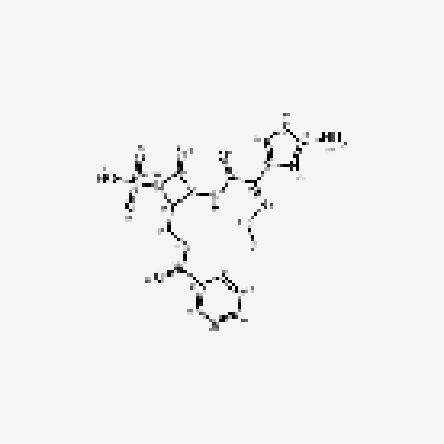 CON=C(C(=O)NC1C(=O)N(S(=O)(=O)O)C1CNC(=O)c1ccccc1)c1csc(N)n1